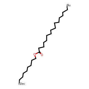 CCCCCCCCCCCCCCCCCCOC(=O)CCCCCCCCCCCCCCC(C)CC